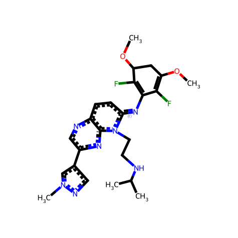 COC1=C(F)C(/N=c2\ccc3ncc(-c4cnn(C)c4)nc3n2CCNC(C)C)=C(F)C(OC)C1